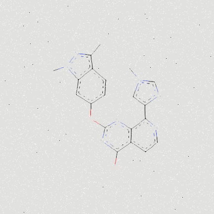 Cc1nn(C)c2cc(Oc3nc(O)c4ccnc(-c5cn(C)cn5)c4n3)ccc12